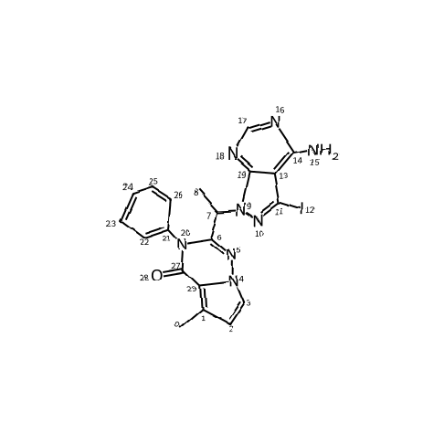 Cc1ccn2nc(C(C)n3nc(I)c4c(N)ncnc43)n(-c3ccccc3)c(=O)c12